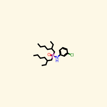 CCCCC(CC)CP(=O)(CC(CC)CCCC)Nc1cccc(Cl)c1